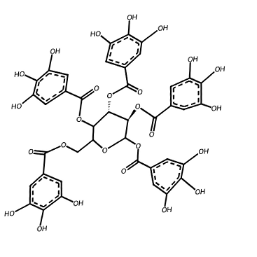 O=C(OCC1OC(OC(=O)c2cc(O)c(O)c(O)c2)[C@H](OC(=O)c2cc(O)c(O)c(O)c2)[C@@H](OC(=O)c2cc(O)c(O)c(O)c2)C1OC(=O)c1cc(O)c(O)c(O)c1)c1cc(O)c(O)c(O)c1